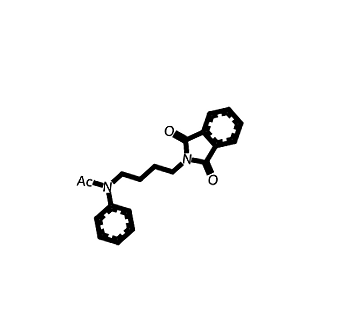 CC(=O)N(CCCCN1C(=O)c2ccccc2C1=O)c1ccccc1